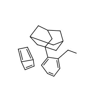 CCc1ccccc1C12CC3CC(CC(C3)C1)C2.c1cc2ccc1-2